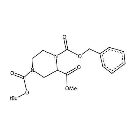 COC(=O)C1CN(C(=O)OC(C)(C)C)CCN1C(=O)OCc1ccccc1